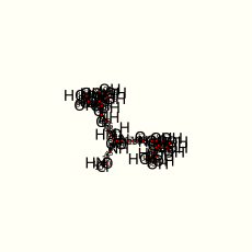 O=C(CCCCCNC(=O)CN(CC(=O)NCCCCCC(=O)NCCO[C@H]1OC(CO[C@H]2O[C@H](CO)[C@@H](O)C(O)C2O)[C@@H](O)C(O[C@H]2OC(CO)[C@@H](O)C(O)C2O)[C@@H]1O)CC(=O)NCCCCCC(=O)NCCO[C@H]1O[C@H](CO[C@H]2OC(CO)[C@@H](O)C(O)C2O)[C@@H](O)C(O[C@H]2OC(CO)[C@@H](O)[C@H](O)C2O)[C@@H]1O)NCl